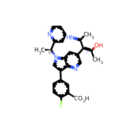 CC(=N)/C(=C(/C)O)c1cnc2c(-c3ccc(F)c(C(=O)O)c3)cn([C@@H](C)c3ccccn3)c2c1